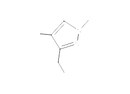 Cn1cc(C(F)(F)F)c(CCl)n1